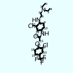 CCN(CC)CCNc1ccc(NC(=O)COc2ccc(C(F)(F)F)cc2Cl)cc1Cl